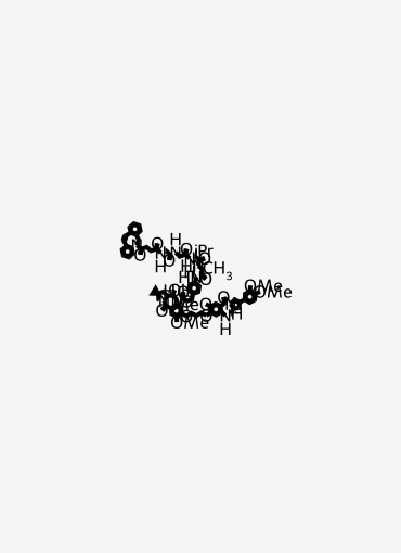 COc1ccc(C2=CN3C(=O)c4cc(OC)c(OCCCOc5cc6c(cc5OC)C(=O)N5CC7(CC7)C[C@H]5C(O)N6C(=O)OCc5ccc(NC(=O)[C@H](C)NC(=O)[C@@H](NC(=O)CNC(=O)CNC(=O)CCC(=O)N6Cc7ccccc7C#Cc7ccccc76)C(C)C)cc5)cc4NC[C@@H]3C2)cc1OC